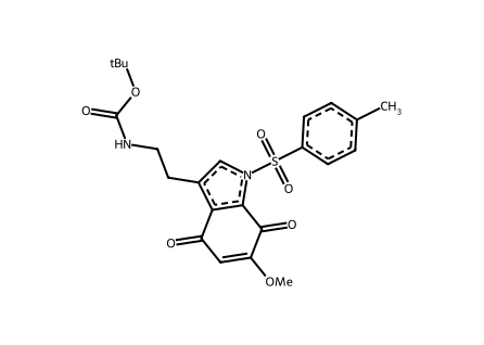 COC1=CC(=O)c2c(CCNC(=O)OC(C)(C)C)cn(S(=O)(=O)c3ccc(C)cc3)c2C1=O